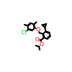 Cc1cc(C)c(OCc2c(C(=O)OC(C)C)cccc2C2CC2)cc1Cl